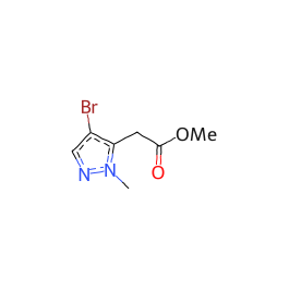 COC(=O)Cc1c(Br)cnn1C